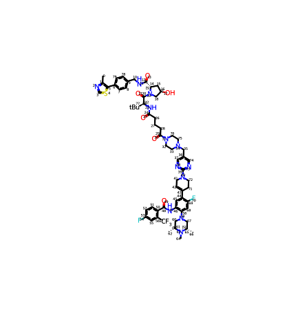 Cc1ncsc1-c1ccc(CNC(=O)[C@@H]2C[C@@H](O)CN2C(=O)[C@@H](NC(=O)CCCC(=O)N2CCN(Cc3cnc(N4CC=C(c5cc(NC(=O)c6ccc(F)cc6C(F)(F)F)c(N6C[C@@H](C)N(C)[C@@H](C)C6)cc5F)CC4)nc3)CC2)C(C)(C)C)cc1